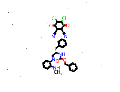 CNc1ccccc1N=C[C@H](Cc1ccccc1)NC(=O)OCc1ccccc1.N#CC1=C(C#N)C(=O)C(Cl)=C(Cl)C1=O